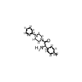 NC(C(=O)N1CCN(c2ccccn2)CC1)c1ccc(F)cc1